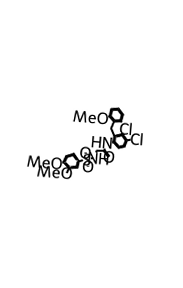 COc1ccc(S(=O)(=O)NCC(=O)Nc2ccc(Cl)cc2Cc2c(Cl)cccc2OC)cc1OC